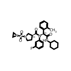 Cc1ccccc1[C@@H](C(=O)NC1CCCCC1)N(C(=O)[C@H]1CCN(S(=O)(=O)N2CC2)C1)c1cccc(F)c1